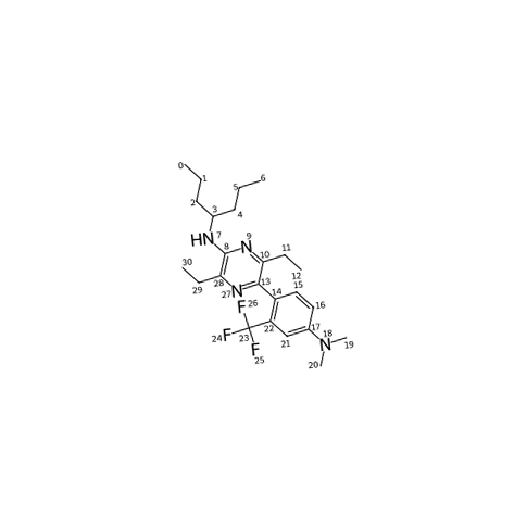 CCCC(CCC)Nc1nc(CC)c(-c2ccc(N(C)C)cc2C(F)(F)F)nc1CC